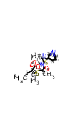 CCCC(=O)OCN(C(=O)C(C)CSC)c1sc(-c2cccnc2)nc1C